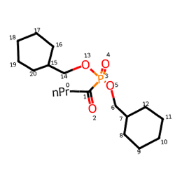 CCCC(=O)P(=O)(OCC1CCCCC1)OCC1CCCCC1